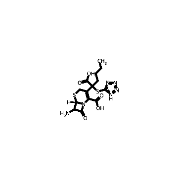 CCCCC(Sc1nnn[nH]1)(C(=O)O)C1=C(C(=O)O)N2C(=O)C(N)[C@@H]2SC1